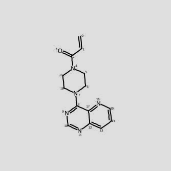 C=CC(=O)N1CCN(c2ncnc3cccnc23)CC1